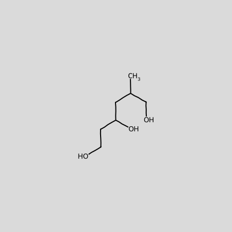 CC(CO)CC(O)CCO